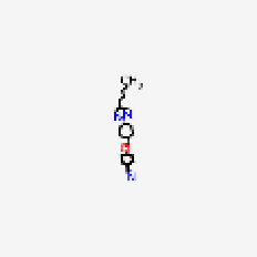 CCCCCc1cnc([C@H]2CC[C@H](COc3ccc(C#N)cc3)CC2)nc1